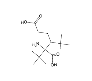 CC(C)(C)C(CCC(=O)O)C(N)(C(=O)O)C(C)(C)C